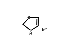 C1=C[IH]C[IH]1.[Ir+3]